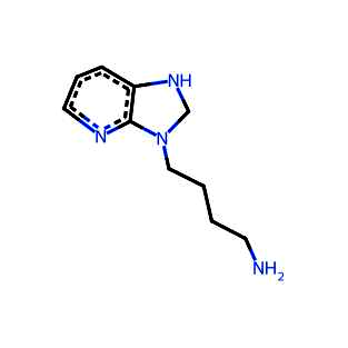 NCCCCN1CNc2cccnc21